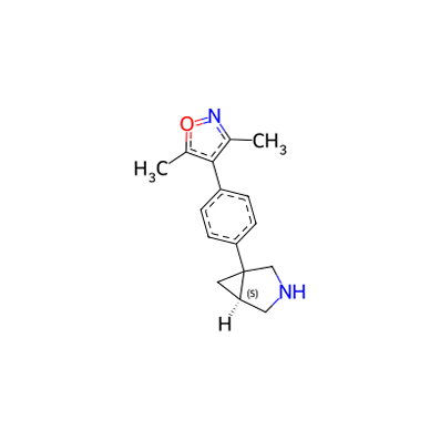 Cc1noc(C)c1-c1ccc(C23CNC[C@H]2C3)cc1